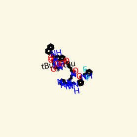 C[C@@H](C(=O)NC(C(=O)N1Cc2cc(OCCCCCC(=O)N(C)CCCn3c(CNc4cccc(C(=O)NCc5c(F)cccc5F)c4)nnc3-c3ccncn3)ccc2C[C@H]1C(=O)N[C@@H]1CCCc2ccccc21)C(C)(C)C)N(C)C(=O)OC(C)(C)C